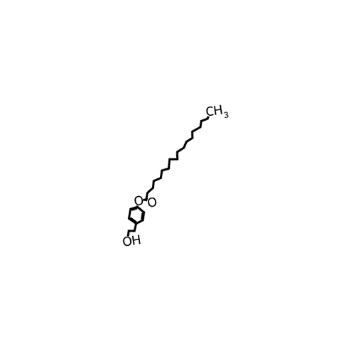 CCCCCCCCCCCCCCCCCC(=O)Oc1ccc(CCO)cc1